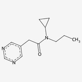 CCCN(C(=O)Cc1cncnc1)C1CC1